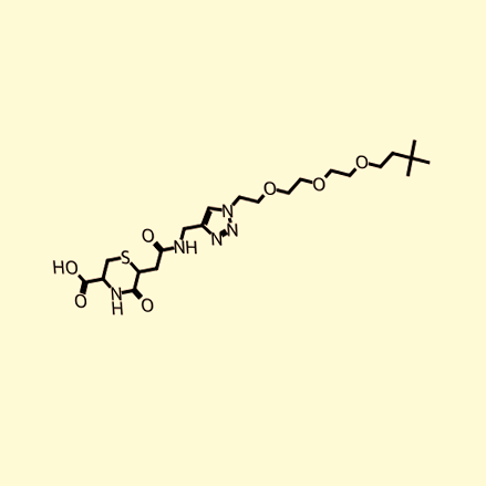 CC(C)(C)CCOCCOCCOCCn1cc(CNC(=O)CC2SCC(C(=O)O)NC2=O)nn1